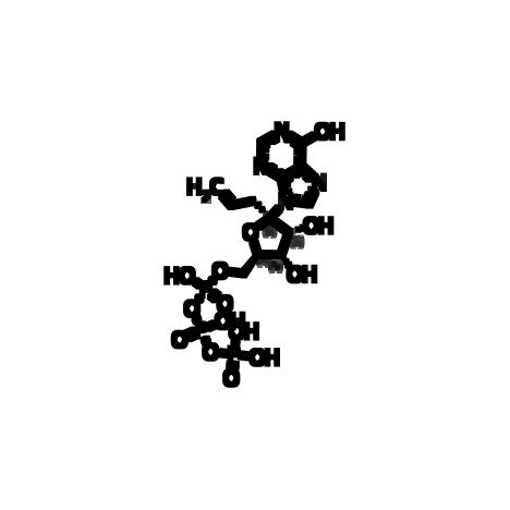 C=CC[C@@]1(n2cnc3c(O)ncnc32)O[C@H](COP(=O)(O)OP(=O)(O)OP(=O)(O)O)[C@@H](O)[C@H]1O